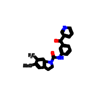 COc1cc2c(cc1C(F)(F)F)N(C(=O)Nc1cccc(C(=O)c3cccnc3)c1)CC2